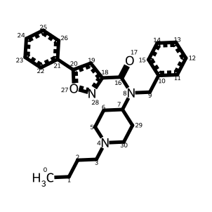 CCCCN1CCC(N(Cc2ccccc2)C(=O)c2cc(-c3ccccc3)on2)CC1